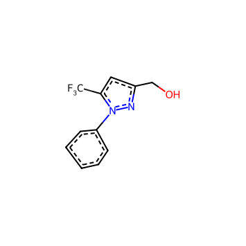 OCc1cc(C(F)(F)F)n(-c2ccccc2)n1